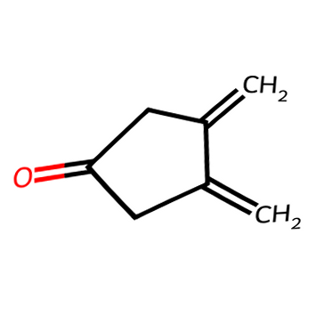 C=C1CC(=O)CC1=C